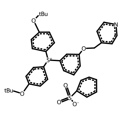 CC(C)(C)Oc1ccc([S+](c2ccc(OC(C)(C)C)cc2)c2cccc(OCc3ccncc3)c2)cc1.O=S(=O)([O-])c1ccccc1